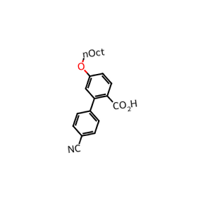 CCCCCCCCOc1ccc(C(=O)O)c(-c2ccc(C#N)cc2)c1